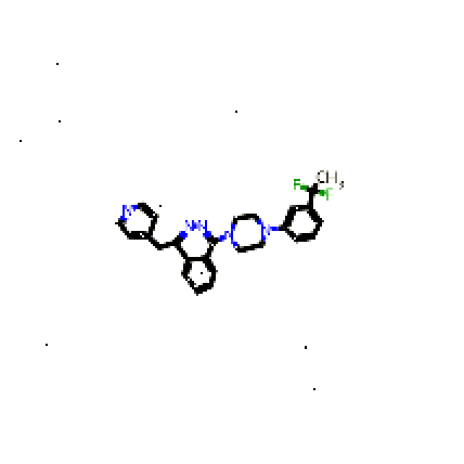 CC(F)(F)c1cccc(N2CCN(c3nnc(Cc4ccncc4)c4ccccc34)CC2)c1